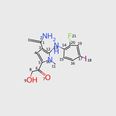 C=C(N)c1cc(C(=O)CO)n(C)c1Nc1ccc(I)cc1F